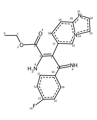 CCOC(=O)/C(N)=C(/C(=N)c1ccc(F)cc1)c1ccc2nccn2c1